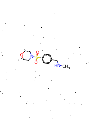 CNCc1ccc(S(=O)(=O)N2CCOCC2)cc1